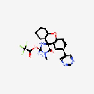 CN1C(=O)C2(NC1(N)OC(=O)C(F)(F)F)c1cc(-c3cncnc3)ccc1OC1CCCCC12